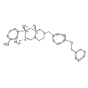 C[C@H]1CN2CCN(Cc3ccc(OCc4ccccc4)cc3)C[C@H]2C[C@@]1(C)c1cccc(O)c1